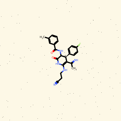 CC(=N)C1=C(NCCC#N)NC(=O)C(NC(=O)c2cccc(C)c2)[C@H]1c1ccc(F)cc1